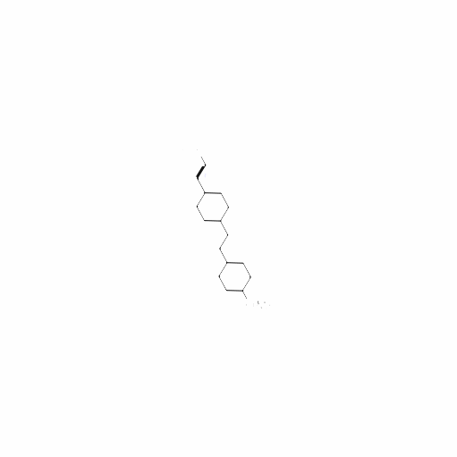 CCC/C=C/C1CCC(CCC2CCC(OC)CC2)CC1